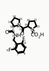 O=C(NCc1c(F)cccc1F)[C@@H]1CCCN1C(=O)C1CCCN1C(=O)O